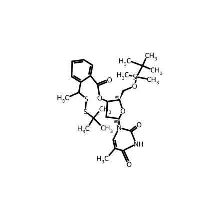 Cc1cn([C@H]2CC(OC(=O)c3ccccc3C(C)SSC(C)(C)C)[C@@H](CO[Si](C)(C)C(C)(C)C)O2)c(=O)[nH]c1=O